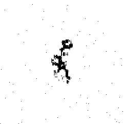 N[C@@H](CF)Cc1sc2c(NCc3ccncc3)nnnc2c1Br